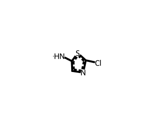 [NH]c1cnc(Cl)s1